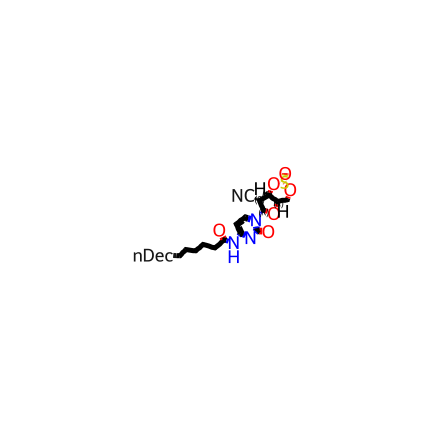 CCCCCCCCCCCCCCCC(=O)Nc1ccn([C@@H]2O[C@@H]3COS(=O)O[C@H]3[C@@H]2C#N)c(=O)n1